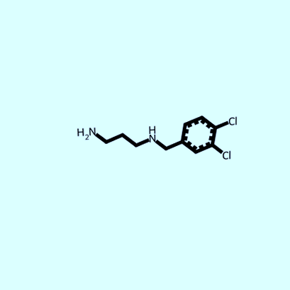 NCCCNCc1ccc(Cl)c(Cl)c1